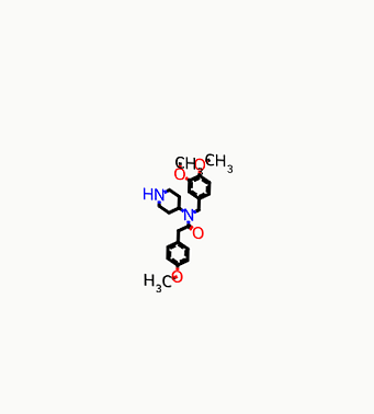 COc1ccc(CC(=O)N(Cc2ccc(OC)c(OC)c2)C2CCNCC2)cc1